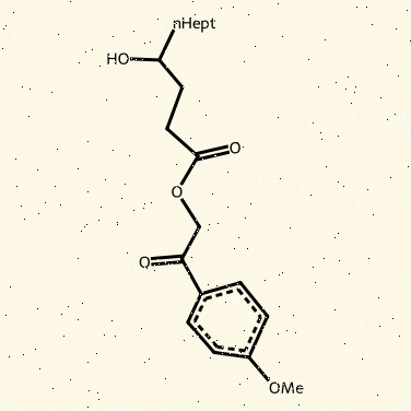 CCCCCCCC(O)CCC(=O)OCC(=O)c1ccc(OC)cc1